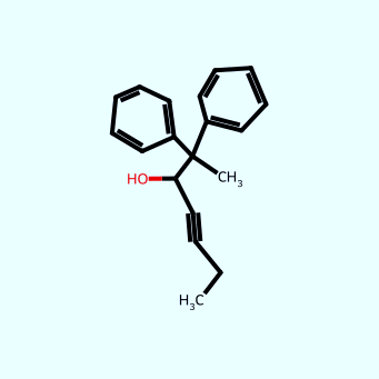 CCC#CC(O)C(C)(c1ccccc1)c1ccccc1